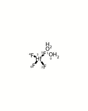 O.O.[F][Hf]([F])([F])[F]